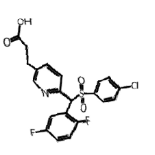 O=C(O)CCc1ccc(C(c2cc(F)ccc2F)S(=O)(=O)c2ccc(Cl)cc2)nc1